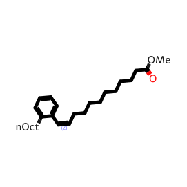 CCCCCCCCc1ccccc1/C=C\CCCCCCCCCC(=O)OC